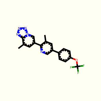 Cc1cc(-c2ccc(OC(F)(F)F)cc2)cnc1-c1cc(C)c2nnnn2c1